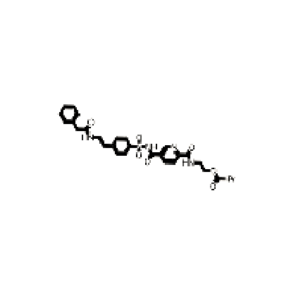 CC(C)C(=O)OCCNC(=O)c1ccc(C(=O)NS(=O)(=O)c2ccc(CCNC(=O)Cc3ccccc3)cc2)cn1